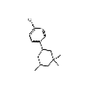 CC1C[C](c2ccc(Cl)cc2)CC(C)(C)C1